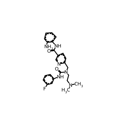 CN(C)CCN(Cc1ccc(C(=O)Nc2ccccc2N)cn1)C(=O)Nc1cccc(F)c1